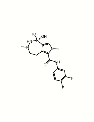 CN1CCc2c(cn(C)c2C(=O)Nc2ccc(F)c(F)c2)[N+](O)(O)N1